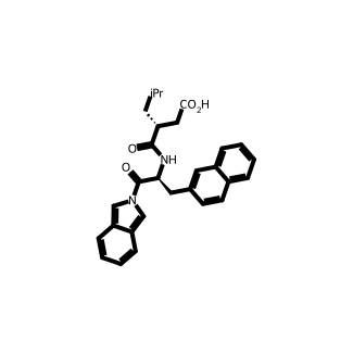 CC(C)C[C@H](CC(=O)O)C(=O)N[C@@H](Cc1ccc2ccccc2c1)C(=O)n1cc2ccccc2c1